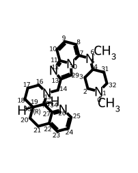 CN1CCC(N(C)c2cccc3nc(CN4CCC[C@H]5CCc6cccnc6[C@H]54)cn23)CC1